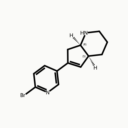 Brc1ccc(C2=C[C@@H]3CCCN[C@@H]3C2)cn1